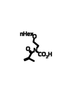 C=C(C)C(=O)N(CCOCCCCCC)C(=O)O